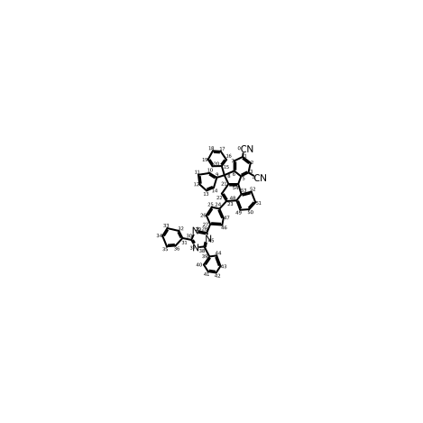 N#Cc1cc(C#N)c2c(c1)C(c1ccccc1)(c1ccccc1)c1cc(-c3ccc(-c4nc(-c5ccccc5)nc(-c5ccccc5)n4)cc3)c3ccccc3c1-2